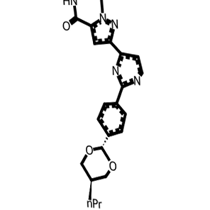 CCC[C@H]1CO[C@H](c2ccc(-c3nccc(-c4cc5n(n4)CCNC5=O)n3)cc2)OC1